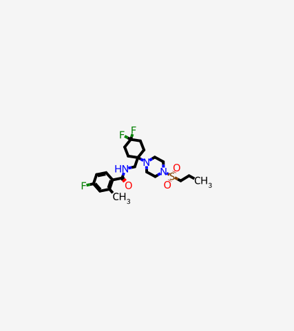 CCCS(=O)(=O)N1CCN(C2(CNC(=O)c3ccc(F)cc3C)CCC(F)(F)CC2)CC1